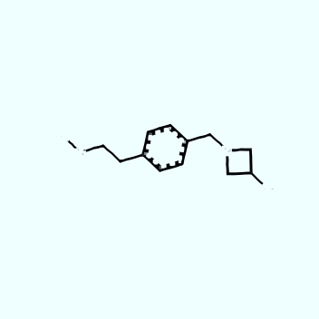 O=C(O)NCCc1ccc(CN2CC(O)C2)cc1